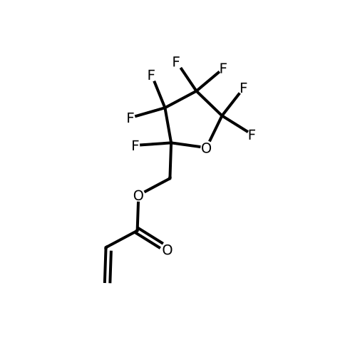 C=CC(=O)OCC1(F)OC(F)(F)C(F)(F)C1(F)F